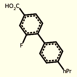 CCCc1ccc(-c2ccc(C(=O)O)cc2F)cc1